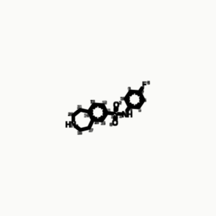 O=S(=O)(Nc1ccc(F)cc1)c1ccc2c(c1)CCNCC2